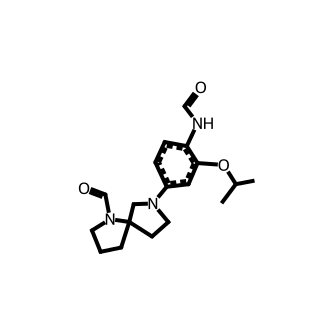 CC(C)Oc1cc(N2CCC3(CCCN3C=O)C2)ccc1NC=O